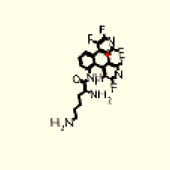 NCCCCC(N)C(=O)Nc1cccc(-c2c(F)c(F)nc(F)c2F)c1-c1c(F)c(F)nc(F)c1F